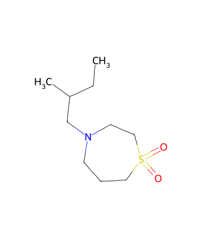 CCC(C)CN1CCCS(=O)(=O)CC1